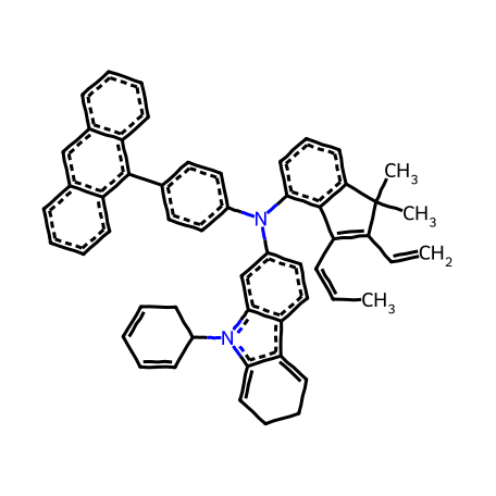 C=CC1=C(/C=C\C)c2c(N(c3ccc(-c4c5ccccc5cc5ccccc45)cc3)c3ccc4c5c(n(C6C=CC=CC6)c4c3)=CCCC=5)cccc2C1(C)C